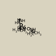 CC(C)OC(=O)N[C@H]1CC[C@H](c2ncc(-c3ccc(Nc4ncc[nH]4)cc3S(=O)(=O)N(C)C)s2)CC1